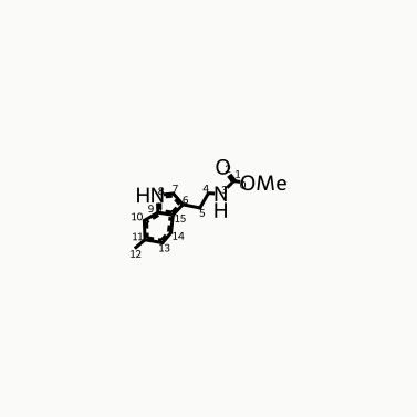 COC(=O)NCCc1c[nH]c2cc(C)ccc12